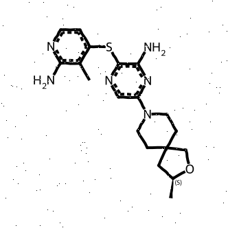 Cc1c(Sc2ncc(N3CCC4(CC3)CO[C@@H](C)C4)nc2N)ccnc1N